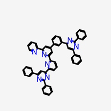 c1ccc(-c2cc(-c3cccc(-c4cc(-c5ccccn5)nc(-c5cccc(-c6cc(-c7ccccc7)nc(-c7ccccc7)n6)n5)c4)c3)nc(-c3ccccc3)n2)cc1